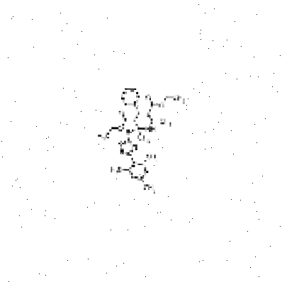 CCOC(=O)C1=C(C)NC(C)(Nc2nc(-c3c(C)cc(C)cc3C)cs2)C(C(=O)OCC)C1c1ccccc1